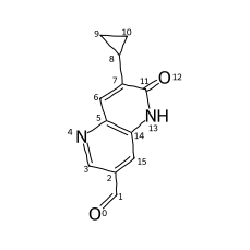 O=Cc1cnc2cc(C3CC3)c(=O)[nH]c2c1